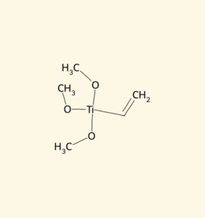 C=[CH][Ti]([O]C)([O]C)[O]C